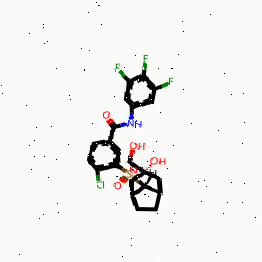 O=C(Nc1cc(F)c(F)c(F)c1)c1ccc(Cl)c(S(=O)(=O)[C@H]2C3CCC2C[C@](O)(CO)C3)c1